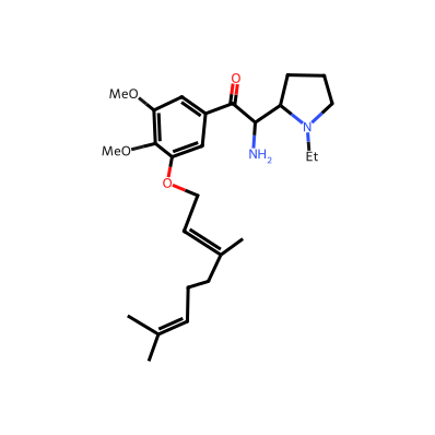 CCN1CCCC1C(N)C(=O)c1cc(OC)c(OC)c(OC/C=C(\C)CCC=C(C)C)c1